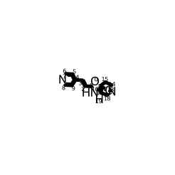 O=C(C=Cc1ccncc1)N[C@H]1CN2CCC1CC2